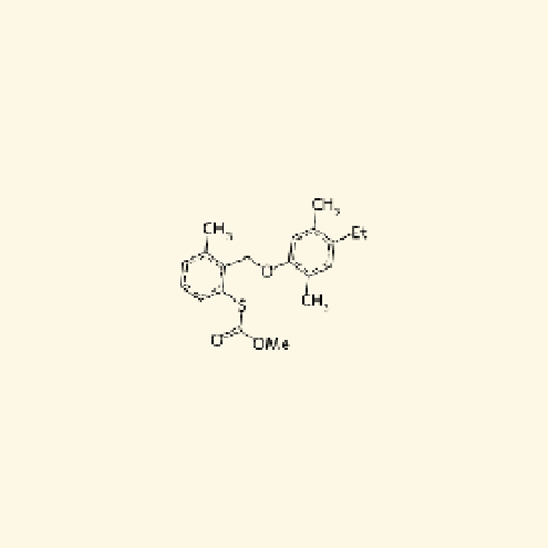 CCc1cc(C)c(OCc2c(C)cccc2SC(=O)OC)cc1C